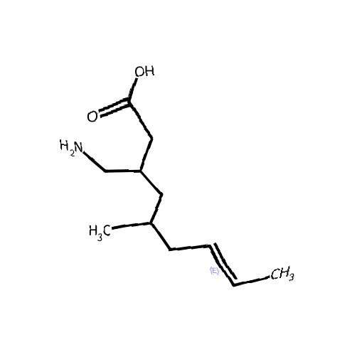 C/C=C/CC(C)CC(CN)CC(=O)O